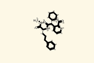 CNC(=O)[C@@H](CCCc1ccccc1)NC(=O)[C@@H](c1cccnc1C(N)=O)C1CCCCC1